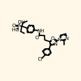 CCC(CC)(c1ccc(NC(=O)CCc2oc(-n3ccnc3C)nc2-c2ccc(Cl)cc2)cc1)P(=O)(O)O